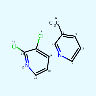 ClC(Cl)(Cl)c1cccnc1.Clc1cccnc1Cl